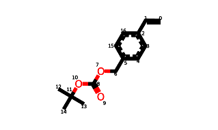 C=Cc1ccc(COC(=O)OC(C)(C)C)cc1